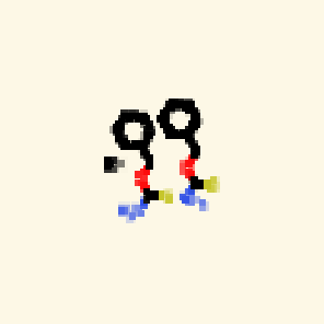 NC(=S)OCc1ccccc1.NC(=S)OCc1ccccc1.[KH]